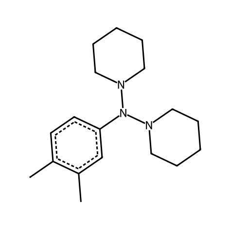 Cc1ccc(N(N2CCCCC2)N2CCCCC2)cc1C